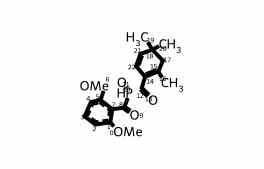 COc1cccc(OC)c1C(=O)[PH](=O)C(=O)C1=C(C)CC(C)(C)C=C1